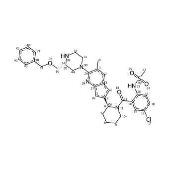 Cc1cn2cc([C@@H]3CCCCN3C(=O)c3cc(Cl)ccc3NS(C)(=O)=O)cc2nc1N1CCN[C@@H](COCc2ccccc2)C1